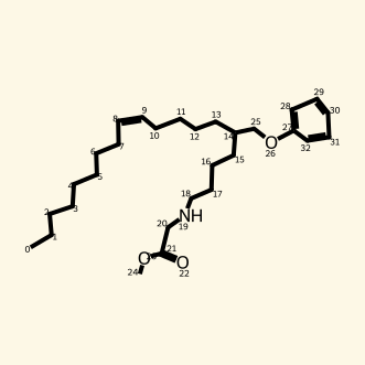 CCCCCCCC/C=C\CCCCC(CCCCNCC(=O)OC)COc1ccccc1